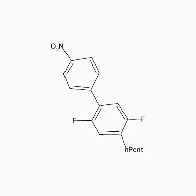 CCCCCc1cc(F)c(-c2ccc([N+](=O)[O-])cc2)cc1F